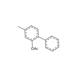 CC(=O)Oc1cc(C)ccc1-c1ccccc1